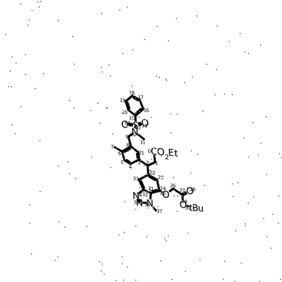 CCOC(=O)CC(c1ccc(C)c(CN(C)S(=O)(=O)c2ccccc2)c1)c1cc(OCC(=O)OC(C)(C)C)c2c(c1)nnn2C